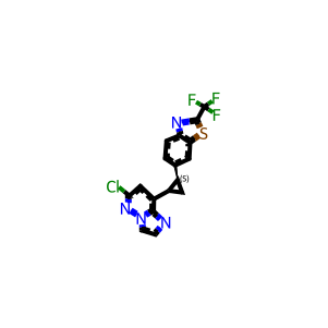 FC(F)(F)c1nc2ccc([C@H]3CC3c3cc(Cl)nn4ccnc34)cc2s1